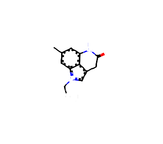 Cc1cc2c3c(cn(CC(=O)O)c3c1)CC(=O)N2